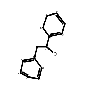 OC(Cc1ccccc1)C1=CC=CC[CH]1